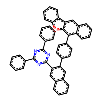 c1ccc(-c2nc(-c3ccccc3)nc(-c3cc4ccccc4cc3-c3ccc(-c4c5ccccc5cc5c4oc4ccccc45)cc3)n2)cc1